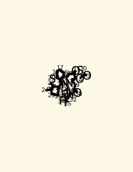 CSC(=O)Oc1c2n(ccc1=O)N([C@@H]1c3ccccc3SCc3c(C)cccc31)CN([C@H](C)C(F)(F)F)C(=O)C2